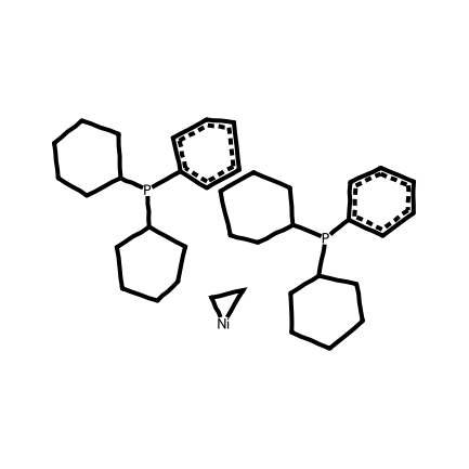 [CH2]1[CH2][Ni]1.c1ccc(P(C2CCCCC2)C2CCCCC2)cc1.c1ccc(P(C2CCCCC2)C2CCCCC2)cc1